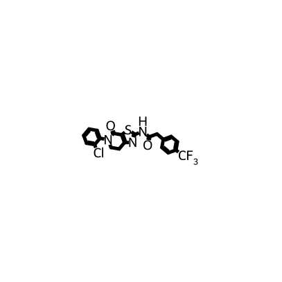 O=C(Cc1ccc(C(F)(F)F)cc1)Nc1nc2c(s1)C(=O)N(c1ccccc1Cl)CC2